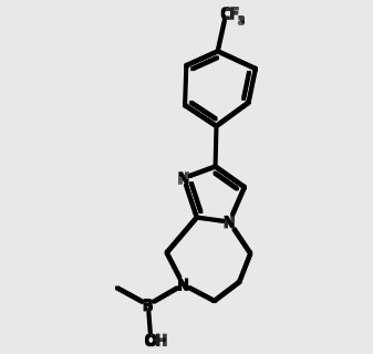 CB(O)N1CCCn2cc(-c3ccc(C(F)(F)F)cc3)nc2C1